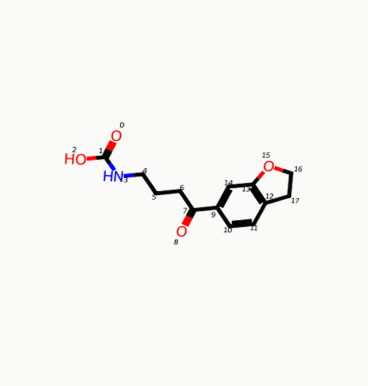 O=C(O)NCCCC(=O)c1ccc2c(c1)OCC2